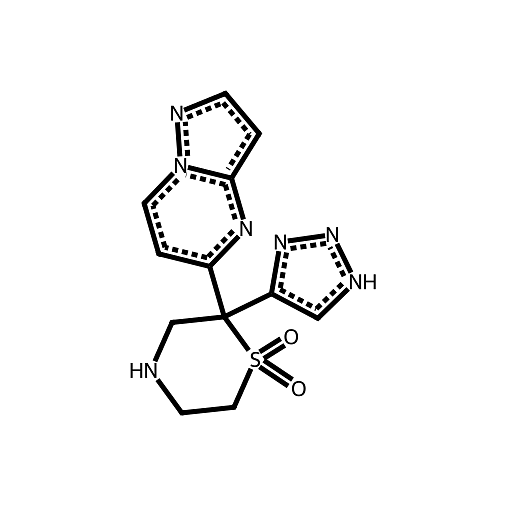 O=S1(=O)CCNCC1(c1c[nH]nn1)c1ccn2nccc2n1